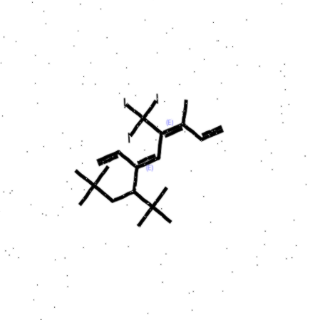 C=C/C(=C\C(=C(\C)C=C)C(I)(I)I)C(CC(C)(C)C)C(C)(C)C